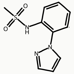 CS(=O)(=O)Nc1ccc[c]c1-n1cccn1